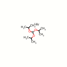 CC(C)OB(OC(C)C)OC(C)C.[H-].[Li+]